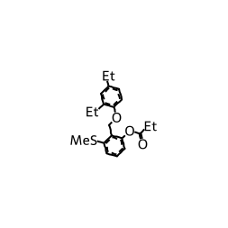 CCC(=O)Oc1cccc(SC)c1COc1ccc(CC)cc1CC